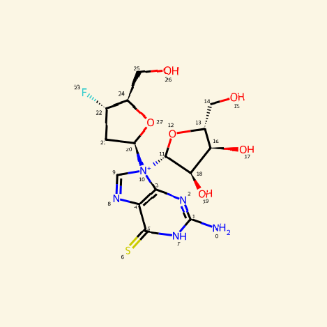 Nc1nc2c(c(=S)[nH]1)N=C[N+]2([C@@H]1O[C@H](CO)[C@@H](O)[C@H]1O)[C@H]1C[C@H](F)[C@@H](CO)O1